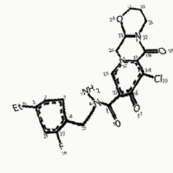 CCc1ccc(CN(N)C(=O)c2cn3c(c(Cl)c2=O)C(=O)N2CCCOC2C3)c(F)c1